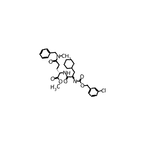 COC(=O)[C@H](CCC(=O)N(C)Cc1ccccc1)NC(=O)/C(CC1CCCCC1)=N/C(=O)OCc1cccc(Cl)c1